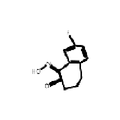 O=C1CCCc2ccc(F)cc2C1=NO